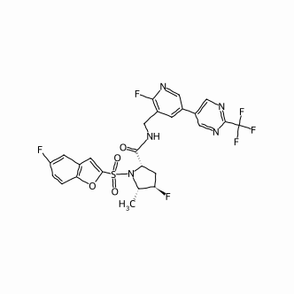 C[C@H]1[C@H](F)C[C@@H](C(=O)NCc2cc(-c3cnc(C(F)(F)F)nc3)cnc2F)N1S(=O)(=O)c1cc2cc(F)ccc2o1